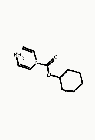 C=CN(/C=C\N)C(=O)OC1CCCCC1